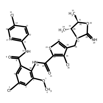 COc1cc(Cl)cc(C(=O)Nc2ccc(Cl)cn2)c1NC(=O)c1scc(CN2C(=N)O[C@H](C)[C@H]2C)c1Cl